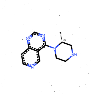 C[C@@H]1CNCCN1c1ncnc2ccncc12